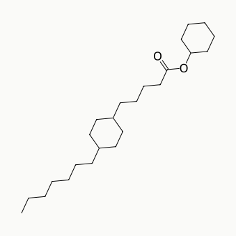 CCCCCCCC1CCC(CCCCC(=O)OC2CCCCC2)CC1